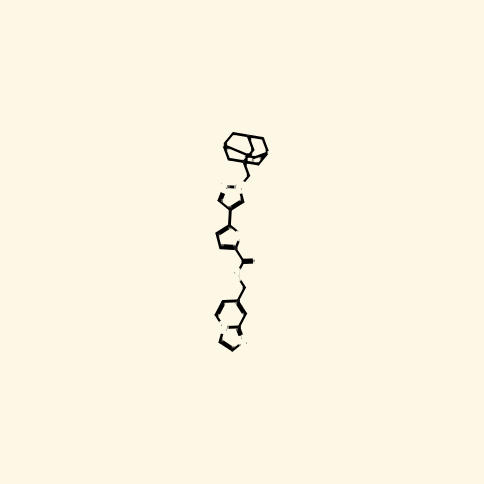 O=C(NCc1ccn2ccnc2c1)c1ccc(-c2cnn(CC34CC5CC(CC(C5)C3)C4)c2)s1